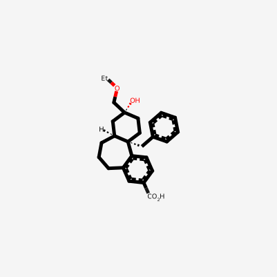 CCOC[C@@]1(O)CC[C@@]2(Cc3ccccc3)c3ccc(C(=O)O)cc3CCC[C@H]2C1